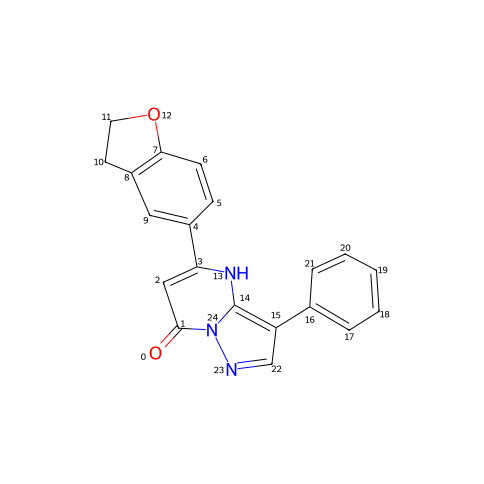 O=c1cc(-c2ccc3c(c2)CCO3)[nH]c2c(-c3ccccc3)cnn12